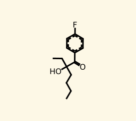 CCCCC(O)(CC)C(=O)c1ccc(F)cc1